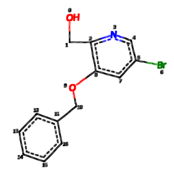 OCc1ncc(Br)cc1OCc1ccccc1